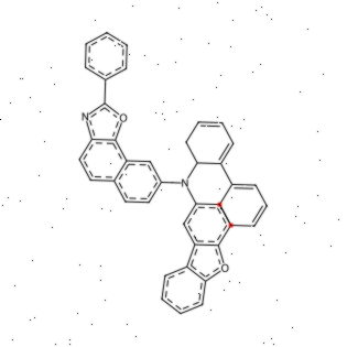 C1=CCCC(C2=CC=CCC2N(c2ccc3oc4ccccc4c3c2)c2ccc3ccc4nc(-c5ccccc5)oc4c3c2)=C1